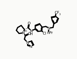 CCCN(Cc1ccc(C(F)(F)F)cc1)Cc1ccc(NC(=O)[C@H]2CCCCN2C(=O)Cn2ccnc2)cc1Cl